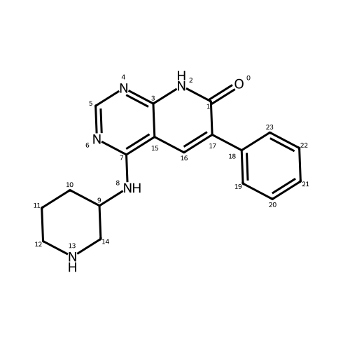 O=c1[nH]c2ncnc(NC3CCCNC3)c2cc1-c1ccccc1